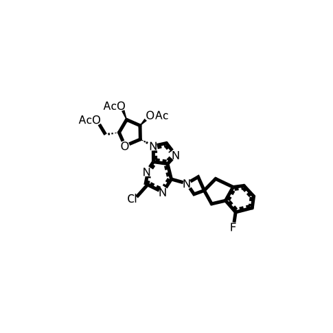 CC(=O)OC[C@H]1O[C@@H](n2cnc3c(N4CC5(Cc6cccc(F)c6C5)C4)nc(Cl)nc32)[C@H](OC(C)=O)[C@@H]1OC(C)=O